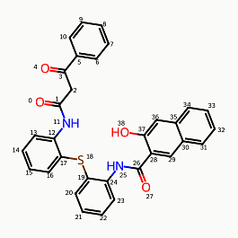 O=C(CC(=O)c1ccccc1)Nc1ccccc1Sc1ccccc1NC(=O)c1cc2ccccc2cc1O